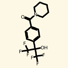 O=C(c1ccc(C(O)(C(F)(F)F)C(F)(F)F)cc1)N1CCCCC1